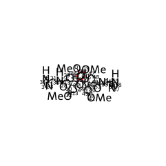 COc1ccc(C(OC(c2ccc(OC)cc2)(c2ccc(OC)cc2)c2cccc(C(=O)NCCc3ncc[nH]3)c2)(c2ccc(OC)cc2)c2cccc(C(=O)NCCc3ncc[nH]3)c2)cc1